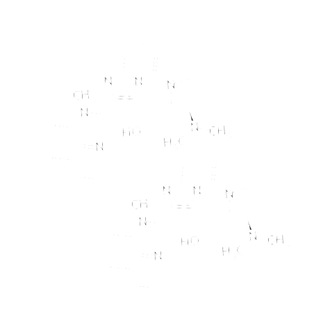 CN(C)[C@@H]1CCN(c2cccc3nc(CN(C)[C@H]4CCCc5cccnc54)c(CO)n23)C1.CN(C)[C@@H]1CCN(c2cccc3nc(CN(C)[C@H]4CCCc5cccnc54)c(CO)n23)C1